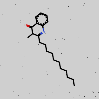 CCCCCCCCCCCC1=Nc2ccccc2C(=O)C1C